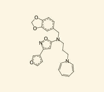 C1=CC=CN(CCCN(Cc2ccc3c(c2)OCO3)c2cc(-c3ccoc3)no2)C=C1